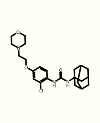 O=C(Nc1ccc(OCCN2CCOCC2)cc1Cl)NC12CC3CC(CC(C3)C1)C2